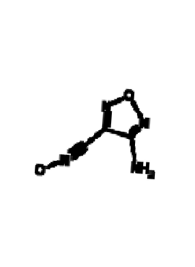 Nc1nonc1C#[N+][O-]